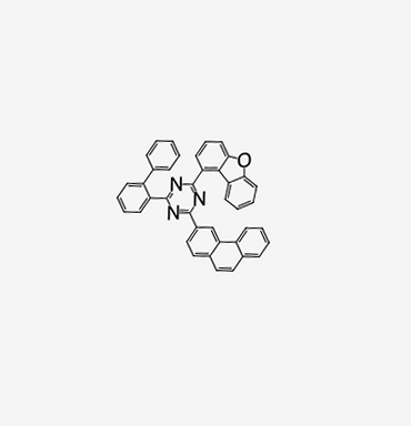 c1ccc(-c2ccccc2-c2nc(-c3ccc4ccc5ccccc5c4c3)nc(-c3cccc4oc5ccccc5c34)n2)cc1